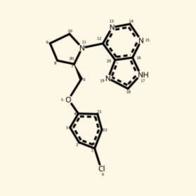 Clc1ccc(OC[C@H]2CCCN2c2ncnc3[nH]cnc23)cc1